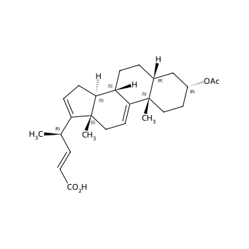 CC(=O)O[C@@H]1CC[C@]2(C)C3=CC[C@]4(C)C([C@H](C)C=CC(=O)O)=CC[C@H]4[C@@H]3CC[C@@H]2C1